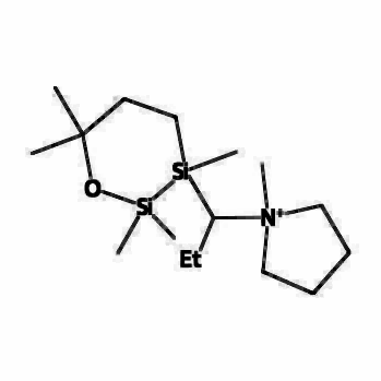 CCC([N+]1(C)CCCC1)[Si]1(C)CCC(C)(C)O[Si]1(C)C